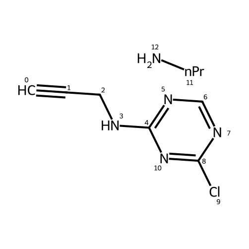 C#CCNc1ncnc(Cl)n1.CCCN